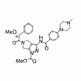 COC(=O)n1nc(NC(=O)c2ccc(N3CCN(C)CC3)cc2)c2c1CN(C(=O)[C@H](OC)c1ccccc1)C2